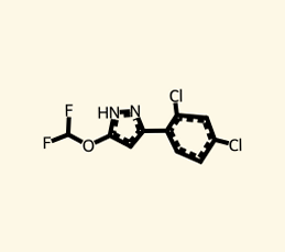 FC(F)Oc1cc(-c2ccc(Cl)cc2Cl)n[nH]1